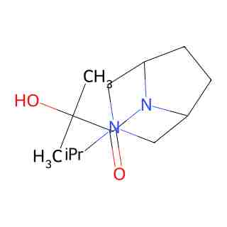 CC(C)N1CC2CCC(C1)N2C(=O)C(C)(C)O